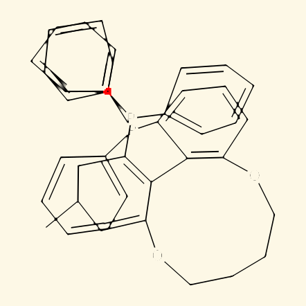 CC1C=C2OCCCCOc3cccc(P(c4ccccc4)c4ccccc4)c3C2=C(P(c2ccccc2)c2ccccc2)C1